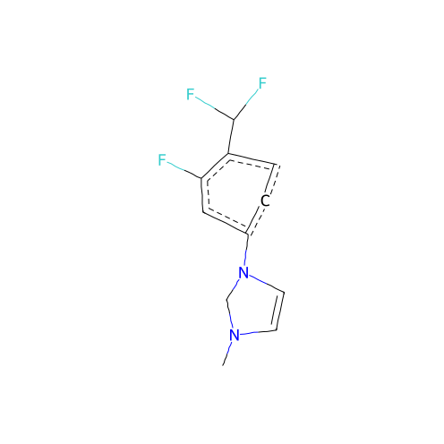 CN1C=CN(c2ccc(C(F)F)c(F)c2)C1